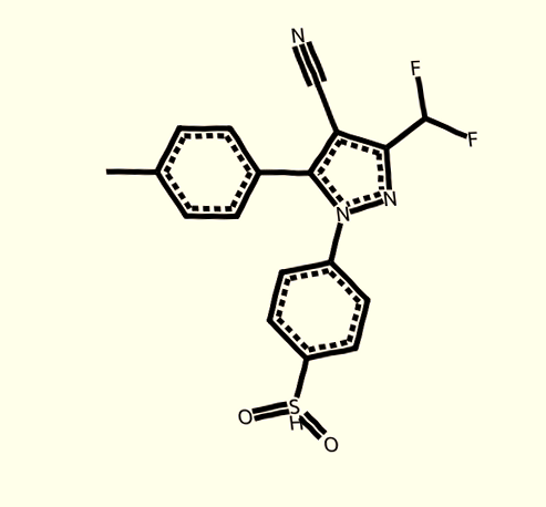 Cc1ccc(-c2c(C#N)c(C(F)F)nn2-c2ccc([SH](=O)=O)cc2)cc1